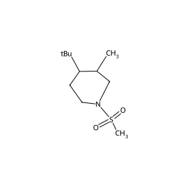 CC1CN(S(C)(=O)=O)CCC1C(C)(C)C